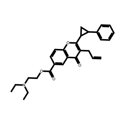 C=CCc1c(C2CC2c2ccccc2)oc2ccc(C(=O)OCCN(CC)CC)cc2c1=O